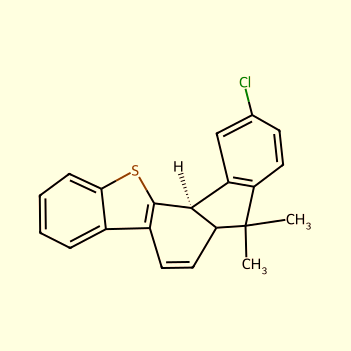 CC1(C)c2ccc(Cl)cc2[C@@H]2c3sc4ccccc4c3C=CC21